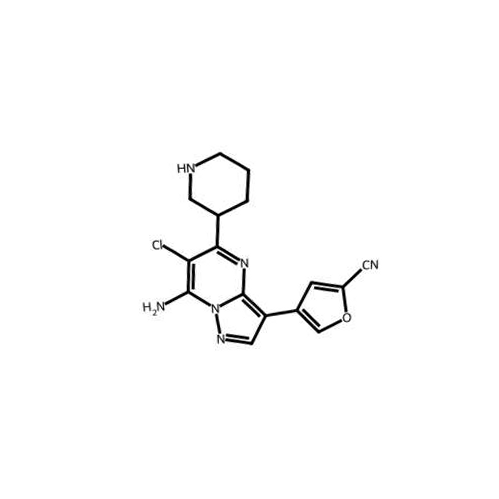 N#Cc1cc(-c2cnn3c(N)c(Cl)c(C4CCCNC4)nc23)co1